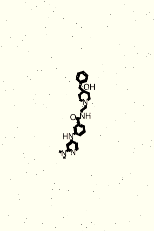 CN(C)c1cc(Nc2cccc(C(=O)NCCN3CCC(O)(Cc4ccccc4)CC3)c2)ccn1